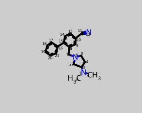 CN(C)C1CCN(Cc2cc(C#N)ccc2-c2ccccc2)C1